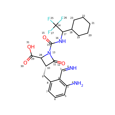 N=Cc1c(N)cccc1C[C@H]1C(=O)N(C(=O)NC(C2CCCCC2)C(F)(F)F)C1C(=O)O